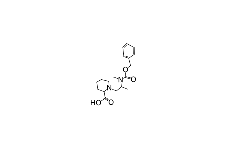 CC(CN1CCCCC1C(=O)O)N(C)C(=O)OCc1ccccc1